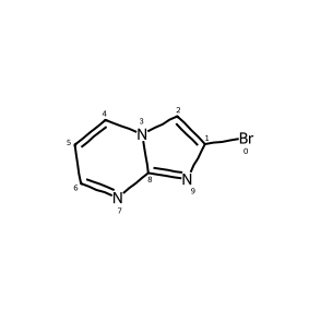 Brc1cn2cccnc2n1